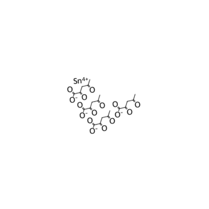 CC(=O)CC(=O)C(=O)[O-].CC(=O)CC(=O)C(=O)[O-].CC(=O)CC(=O)C(=O)[O-].CC(=O)CC(=O)C(=O)[O-].[Sn+4]